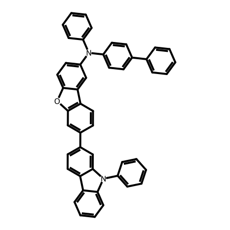 c1ccc(-c2ccc(N(c3ccccc3)c3ccc4oc5cc(-c6ccc7c8ccccc8n(-c8ccccc8)c7c6)ccc5c4c3)cc2)cc1